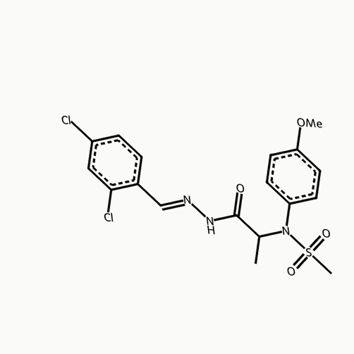 COc1ccc(N(C(C)C(=O)N/N=C/c2ccc(Cl)cc2Cl)S(C)(=O)=O)cc1